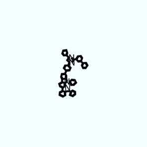 c1ccc(-c2cccc(-c3nc(-c4ccccc4)cc(-c4ccc(-c5ccc6c7ccc8c9ccccc9c(-c9ccccc9)nc8c7n(-c7ccccc7)c6c5)cc4)n3)c2)cc1